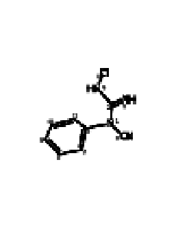 N#CN(C(=N)NCl)c1ccccc1